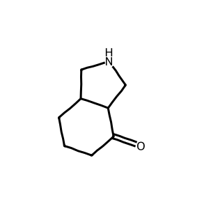 O=C1CCCC2CNCC12